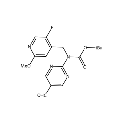 COc1cc(CN(C(=O)OC(C)(C)C)c2ncc(C=O)cn2)c(F)cn1